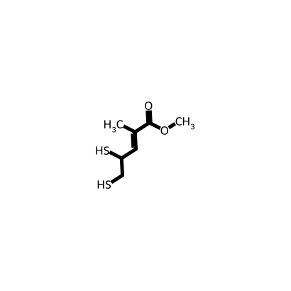 COC(=O)C(C)=CC(S)CS